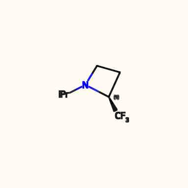 CC(C)N1CC[C@H]1C(F)(F)F